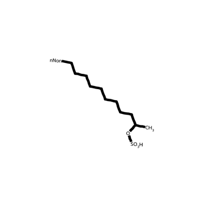 CCCCCCCCCCCCCCCCCCC(C)OS(=O)(=O)O